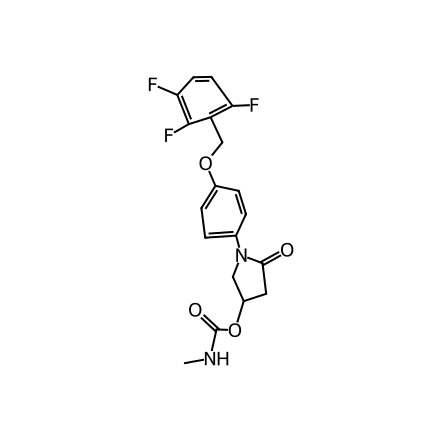 CNC(=O)OC1CC(=O)N(c2ccc(OCc3c(F)ccc(F)c3F)cc2)C1